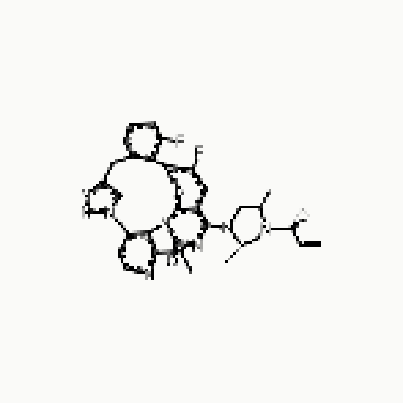 C=CC(=O)N1C[C@H](C)N(c2nc(=O)n3c4nc(c(F)cc24)-c2c(F)cccc2Cc2cn(nn2)-c2ccnc(C(C)C)c2-3)C[C@H]1C